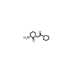 N[C@H]1CCCN(CC(=O)N2CCCCC2)C1=O